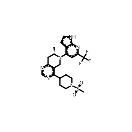 C[C@@H]1Cc2ncnc(C3CCN(S(C)(=O)=O)CC3)c2CN1c1cc(C(F)(F)F)nc2[nH]ccc12